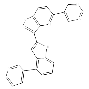 c1cncc(-c2cccc3[nH]c(-c4n[nH]c5ccc(-c6cncnc6)nc45)cc23)c1